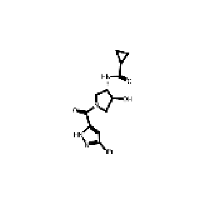 CC(C)c1cc(C(=O)N2C[C@H](NC(=O)C3CC3)[C@@H](O)C2)[nH]n1